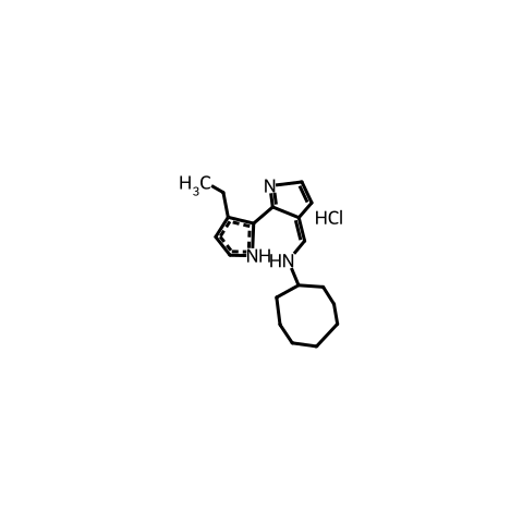 CCc1cc[nH]c1C1=NC=CC1=CNC1CCCCCCC1.Cl